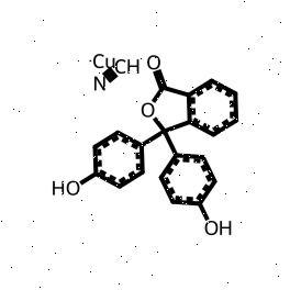 C#N.O=C1OC(c2ccc(O)cc2)(c2ccc(O)cc2)c2ccccc21.[Cu]